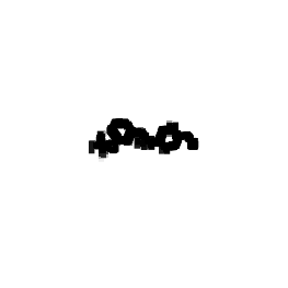 O=Cc1cnc(NCc2cccc(OC(F)(F)F)c2)cn1